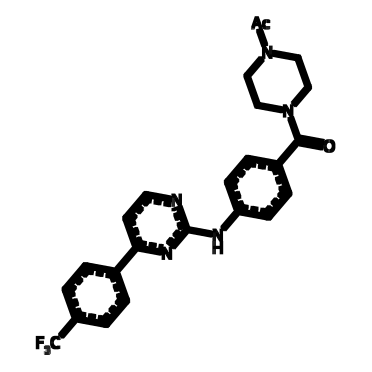 CC(=O)N1CCN(C(=O)c2ccc(Nc3nccc(-c4ccc(C(F)(F)F)cc4)n3)cc2)CC1